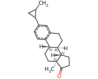 CC1CC1c1ccc2c(c1)CC[C@@H]1[C@@H]2CC[C@]2(C)C(=O)CC[C@@H]12